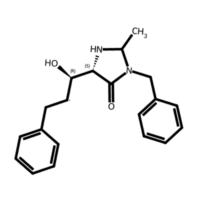 CC1N[C@@H]([C@H](O)[CH]Cc2ccccc2)C(=O)N1Cc1ccccc1